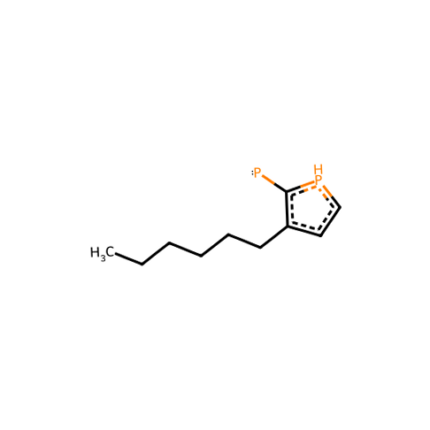 CCCCCCc1cc[pH]c1[P]